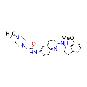 COc1cccc2c1C(Nc1ccc3cc(NC(=O)CN4CCN(C)CC4)ccc3n1)CC2